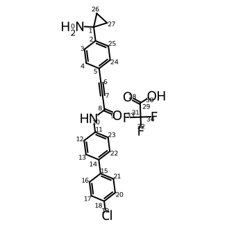 NC1(c2ccc(C#CC(=O)Nc3ccc(-c4ccc(Cl)cc4)cc3)cc2)CC1.O=C(O)C(F)(F)F